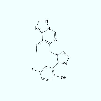 CCc1c(Cn2ccnc2-c2cc(F)ccc2O)ncn2ncnc12